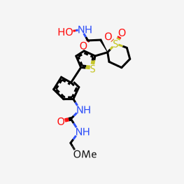 COCNC(=O)Nc1cccc(-c2ccc([C@@]3(CC(=O)NO)CCCCS3(=O)=O)s2)c1